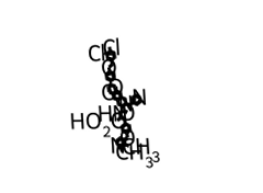 Cc1nccc(Oc2ccc(CC(NC(=O)[C@@H]3Cc4cc5c(cc4CN3Cc3ccncc3)O[C@@H](c3ccc(OCc4ccc(Cl)c(Cl)c4)cc3)CO5)C(=O)O)cc2)c1C